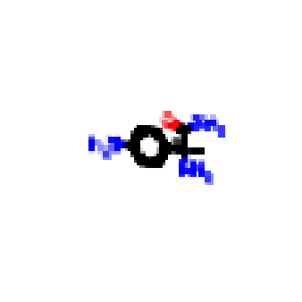 C[C@](N)(C(N)=O)c1ccc(N)cc1